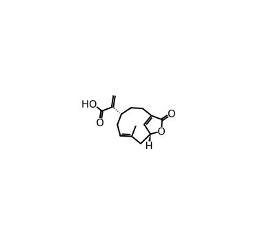 C=C(C(=O)O)[C@H]1C/C=C(\C)C[C@@H]2C=C(CC1)C(=O)O2